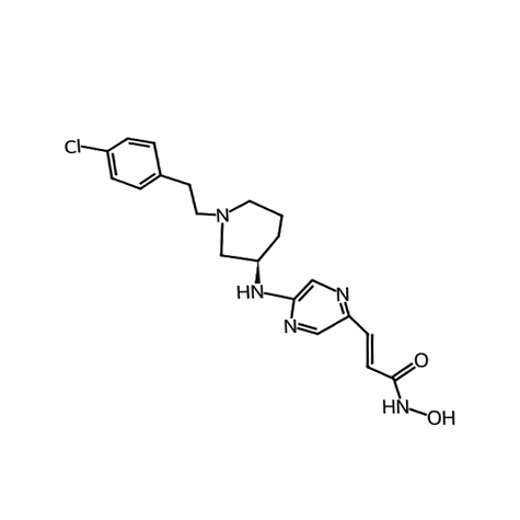 O=C(C=Cc1cnc(N[C@@H]2CCCN(CCc3ccc(Cl)cc3)C2)cn1)NO